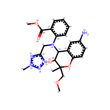 COCC1(C)Oc2ccc(N)cc2C(N(Cc2nnn(C)n2)c2ccccc2C(=O)OC)C1O